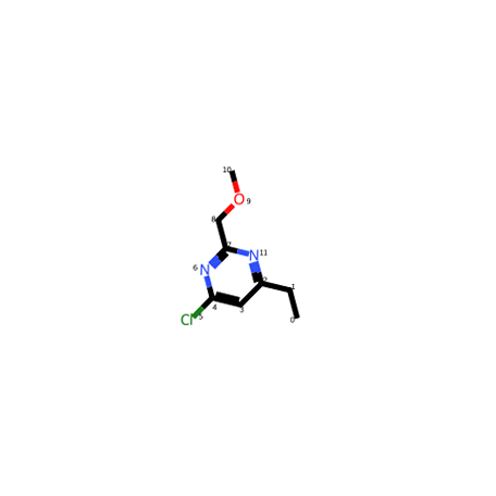 CCc1cc(Cl)nc(COC)n1